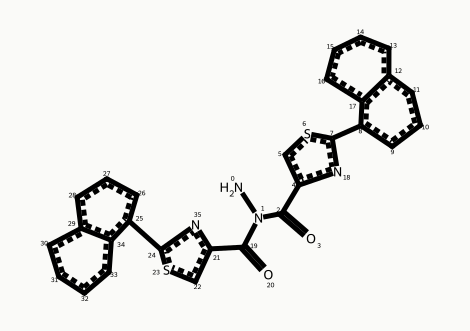 NN(C(=O)c1csc(-c2cccc3ccccc23)n1)C(=O)c1csc(-c2cccc3ccccc23)n1